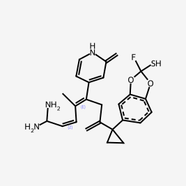 C=C1C=C(/C(CC(=C)C2(c3ccc4c(c3)OC(F)(S)O4)CC2)=C(C)/C=C\C(N)N)C=CN1